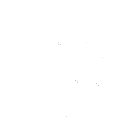 COCC(C)n1c(=O)c2c(-c3noc(C4CC4C)n3)ncn2c2ccccc21